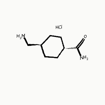 Cl.NC[C@H]1CC[C@H](C(N)=O)CC1